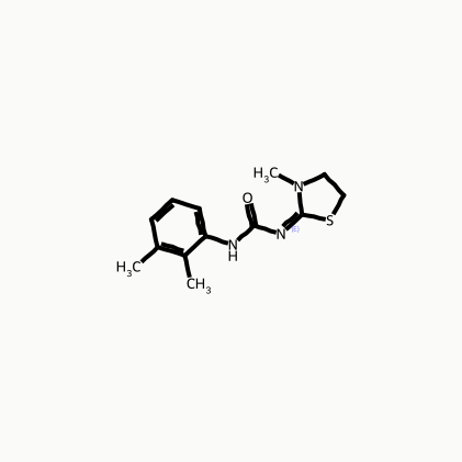 Cc1cccc(NC(=O)/N=C2/SCCN2C)c1C